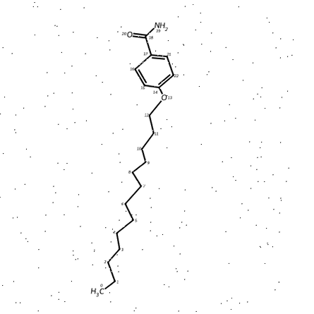 CCCCCCCCCCCCCOc1ccc(C(N)=O)cc1